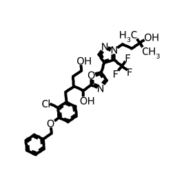 CC(C)(O)CCn1ncc(-c2cnc(C(O)C(CCO)Cc3cccc(OCc4ccccc4)c3Cl)o2)c1C(F)(F)F